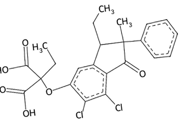 CCC1c2cc(OC(CC)(C(=O)O)C(=O)O)c(Cl)c(Cl)c2C(=O)C1(C)c1ccccc1